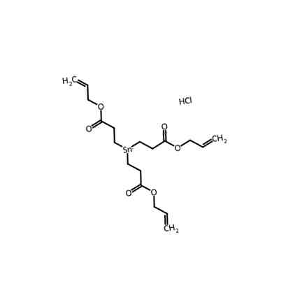 C=CCOC(=O)C[CH2][Sn]([CH2]CC(=O)OCC=C)[CH2]CC(=O)OCC=C.Cl